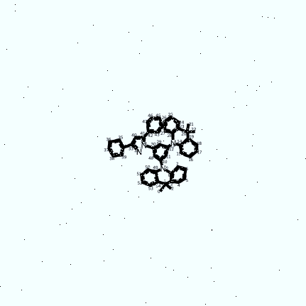 CC1(C)c2ccccc2N(c2cc(N3c4ccccc4C(C)(C)c4ccccc43)cc(-n3nc(-c4ccccc4)cc3-c3ccccc3)c2)c2ccccc21